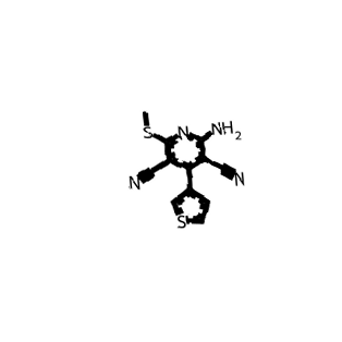 CSc1nc(N)c(C#N)c(-c2ccsc2)c1C#N